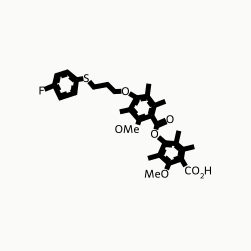 COc1c(C)c(OC(=O)c2c(C)c(C)c(OCCCSc3ccc(F)cc3)c(C)c2OC)c(C)c(C)c1C(=O)O